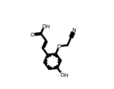 N#CCOc1cc(O)ccc1C=CC(=O)O